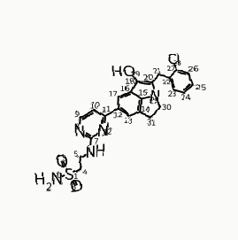 NS(=O)(=O)CCNc1nccc(-c2cc3c4c(c2)c(O)c(Cc2ccccc2Cl)n4CC3)n1